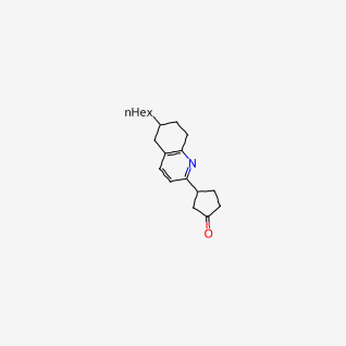 CCCCCCC1CCc2nc(C3CCC(=O)C3)ccc2C1